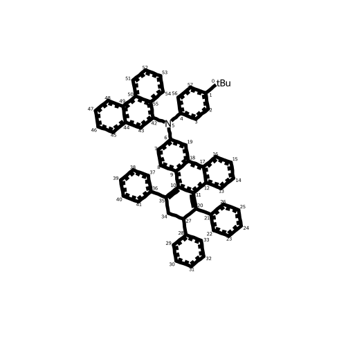 CC(C)(C)c1ccc(N(c2ccc3c4c(c5ccccc5c3c2)=C(c2ccccc2)C(c2ccccc2)CC=4c2ccccc2)c2cc3ccccc3c3ccccc23)cc1